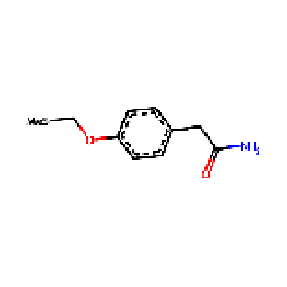 CSCOc1ccc(CC(N)=O)cc1